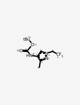 Cc1nn(CC(F)(F)F)cc1NC(=O)OC(C)(C)C